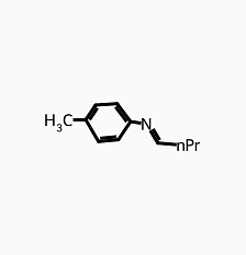 [CH2]CCC=Nc1ccc(C)cc1